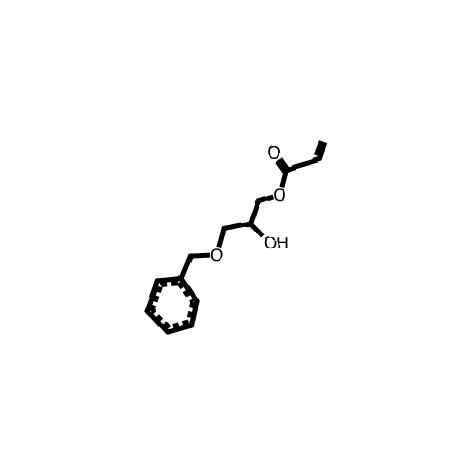 C=CC(=O)OCC(O)COCc1ccccc1